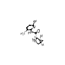 Cc1ccc(Br)nc1NC(=O)[C@H]1NC[C@@H]2C[C@@H]21